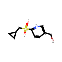 O=S(=O)(CC1CC1)c1ccc(CBr)cn1